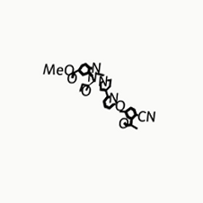 COC(=O)c1ccc2nc(CN3CC=C(c4cccc(OCc5ccc(C#N)c6c(C)coc56)n4)CC3)n(C[C@@H]3CCO3)c2c1